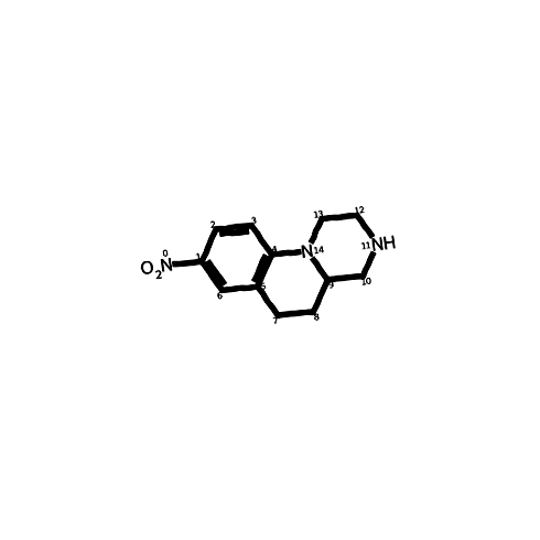 O=[N+]([O-])c1ccc2c(c1)CCC1CNCCN21